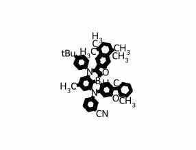 Cc1cc2c3c(c1)N(c1ccc(C(C)(C)C)cc1)c1c(oc4cc5c(cc14)C(C)(C)CCC5(C)C)B3c1cc3c(cc1N2c1cccc(C#N)c1)OC1(C)CCCCC31C